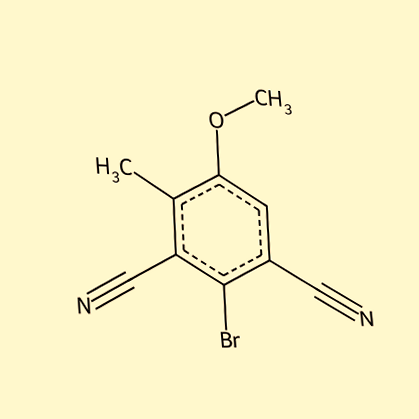 COc1cc(C#N)c(Br)c(C#N)c1C